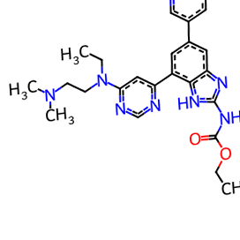 CCOC(=O)Nc1nc2cc(-c3cccnc3)cc(-c3cc(N(CC)CCN(C)C)ncn3)c2[nH]1